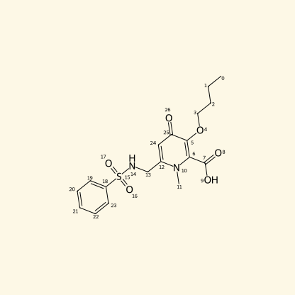 CCCCOc1c(C(=O)O)n(C)c(CNS(=O)(=O)c2ccccc2)cc1=O